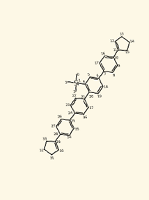 C[Si](C)(C)c1cc(-c2ccc(C3=CCCC3)cc2)ccc1-c1ccc(-c2ccc(C3=CCCC3)cc2)cc1